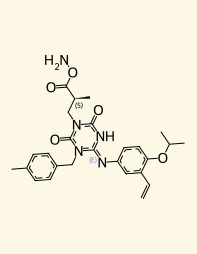 C=Cc1cc(/N=c2\[nH]c(=O)n(C[C@H](C)C(=O)ON)c(=O)n2Cc2ccc(C)cc2)ccc1OC(C)C